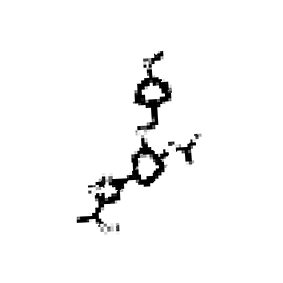 COc1ccc(COc2cc(-c3cc(C(C)O)on3)ccc2OC(F)F)cc1